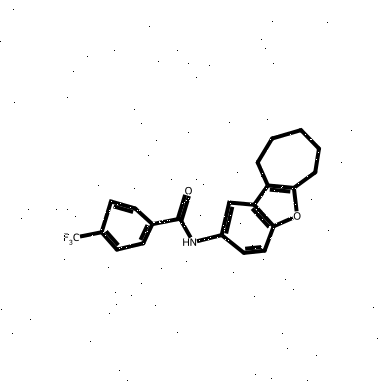 O=C(Nc1ccc2oc3c(c2c1)CCCCC3)c1ccc(C(F)(F)F)cc1